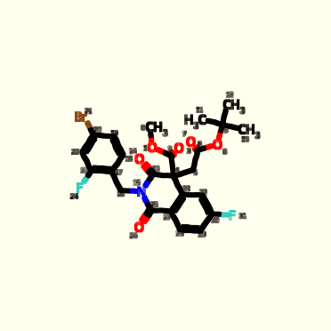 COC(=O)C1(CC(=O)OC(C)(C)C)C(=O)N(Cc2ccc(Br)cc2F)C(=O)c2ccc(F)cc21